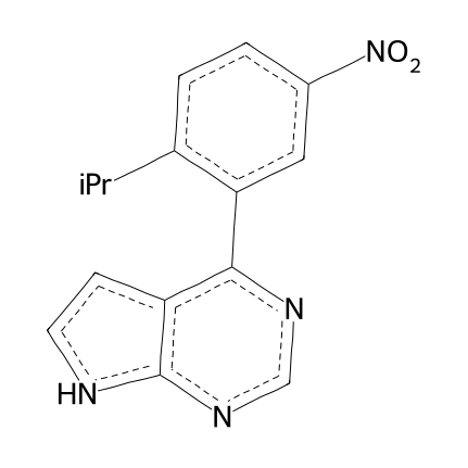 CC(C)c1ccc([N+](=O)[O-])cc1-c1ncnc2[nH]ccc12